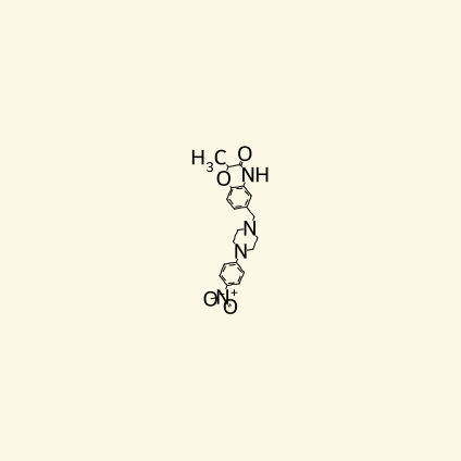 CC1Oc2ccc(CN3CCN(c4ccc([N+](=O)[O-])cc4)CC3)cc2NC1=O